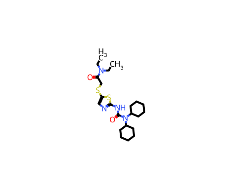 CCN(CC)C(=O)CSc1cnc(NC(=O)N(C2CCCCC2)C2CCCCC2)s1